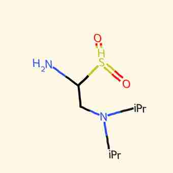 CC(C)N(CC(N)[SH](=O)=O)C(C)C